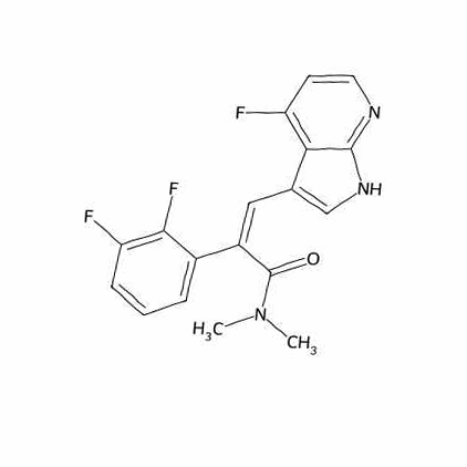 CN(C)C(=O)C(=Cc1c[nH]c2nccc(F)c12)c1cccc(F)c1F